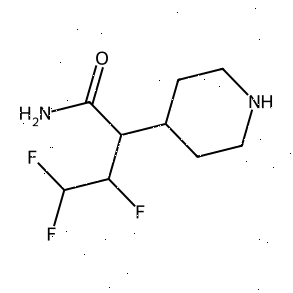 NC(=O)C(C1CCNCC1)C(F)C(F)F